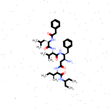 CCC(CC)NC(=O)[C@@H](NC(=O)C[C@H](N)[C@H](Cc1ccccc1)NC(=O)[C@@H](NC(=O)[C@H](CC(C)C)NC(=O)Cc1ccccc1)C(C)C)[C@@H](C)CC